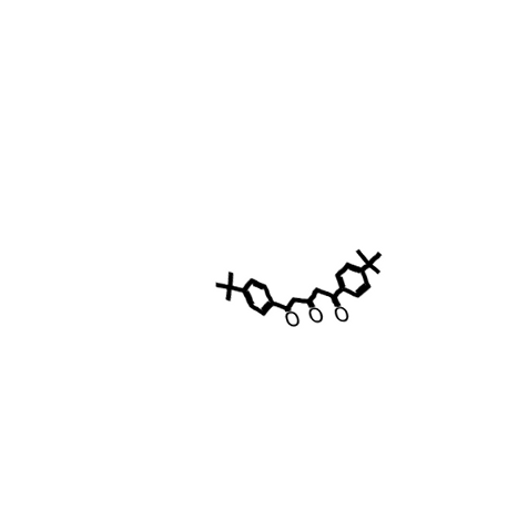 CC(C)(C)c1ccc(C(=O)CC(=O)CC(=O)c2ccc(C(C)(C)C)cc2)cc1